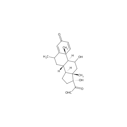 CC1C[C@@H]2[C@H](C(O)C[C@@]3(C)[C@H]2CC[C@]3(O)C(=O)C=O)[C@@]2(C)C=CC(=O)C=C12